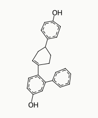 Oc1ccc(C2CC=C(c3ccc(O)cc3-c3ccccc3)CC2)cc1